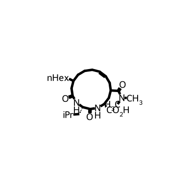 CCCCCCC1CCC/C=C\CC(C(=O)N(C)C)C[C@@H](C(=O)O)NC(=O)[C@H](CC(C)C)NC(=O)C1